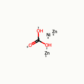 O=C(O)O.[Ni].[Zn].[Zn]